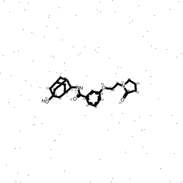 O=C(NC1C2CC3CC1CC(O)(C3)C2)c1cccc(OCCN2CCCC2=O)c1